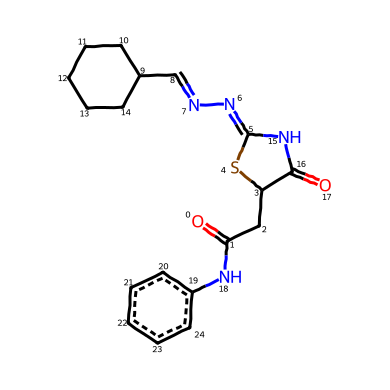 O=C(CC1SC(=NN=CC2CCCCC2)NC1=O)Nc1ccccc1